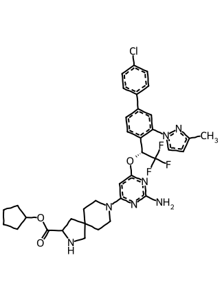 Cc1ccn(-c2cc(-c3ccc(Cl)cc3)ccc2[C@@H](Oc2cc(N3CCC4(CC3)CNC(C(=O)OC3CCCC3)C4)nc(N)n2)C(F)(F)F)n1